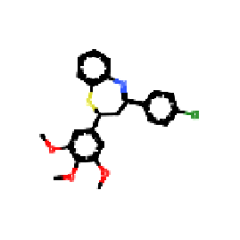 COc1cc(C2CC(c3ccc(Cl)cc3)=Nc3ccccc3S2)cc(OC)c1OC